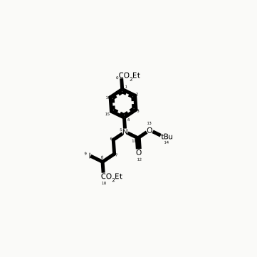 CCOC(=O)c1ccc(N(CCC(I)C(=O)OCC)C(=O)OC(C)(C)C)cc1